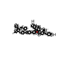 Cc1cc2c(CN3CCN(C4CC5(CCN(c6ccc(C(=O)NS(=O)(=O)c7ccc(NCC8CCC(C)(O)CC8)c([N+](=O)[O-])c7)c(N7c8cc9cc[nH]c9nc8O[C@H]8COCC[C@@H]87)c6)CC5)C4)[C@@H](c4ccccc4OC(C)C)C3)cnc(N3CCOCC3)c2o1